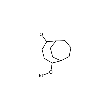 [CH2]COC1CCC([O])C2CCCC1CC2